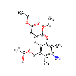 CCOC(=O)C[C@H](Cc1cc(C)c(N)c(C)c1COC(C)=O)C(=O)OCC